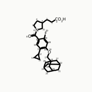 O=C(O)CCC1CCN(C(=O)c2cc(C3CC3)c(OCC34CC5CC(CC(C5)C3)C4)cc2F)C1